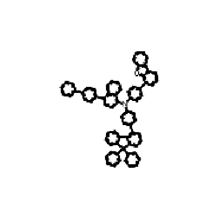 c1ccc(-c2ccc(-c3ccc(N(c4ccc(-c5cccc6c5-c5ccccc5C6(c5ccccc5)c5ccccc5)cc4)c4ccc(-c5cccc6c5oc5ccccc56)cc4)c4ccccc34)cc2)cc1